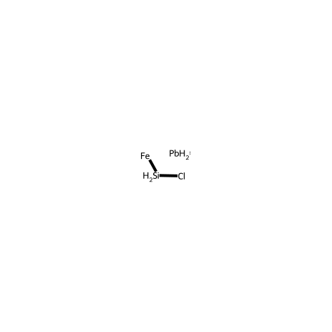 Cl[SiH2][Fe].[PbH2]